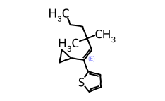 CCCC(C)(C)/C=C(/c1cccs1)C1CC1